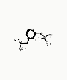 C[C@@H](Cc1cccc(O[Si](C)(C)C(C)(C)C)c1)C(=O)O